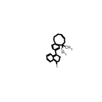 CC1(C)C/C=C\CCCc2ccc(C3=c4ccccc4=C(I)CC3)cc21